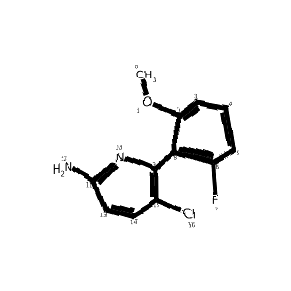 COc1cccc(F)c1-c1nc(N)ccc1Cl